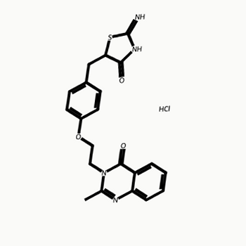 Cc1nc2ccccc2c(=O)n1CCOc1ccc(CC2SC(=N)NC2=O)cc1.Cl